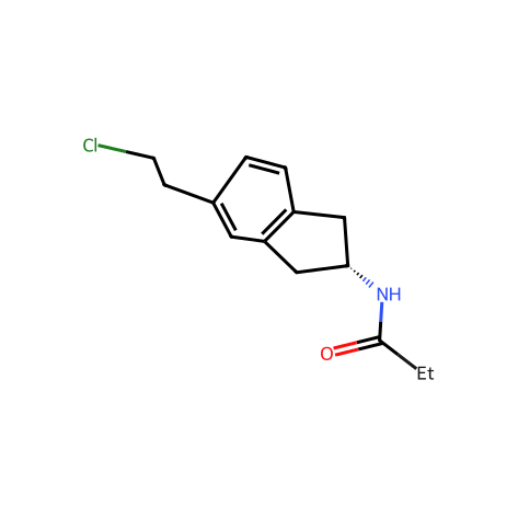 CCC(=O)N[C@H]1Cc2ccc(CCCl)cc2C1